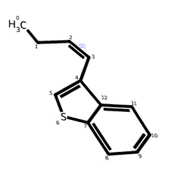 CC/C=C\c1csc2ccccc12